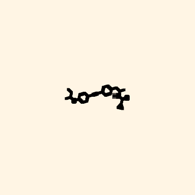 CCC(C)Oc1ccc(C#Cc2ccc(CC(C)NC(=O)C3CC3)cc2)cc1